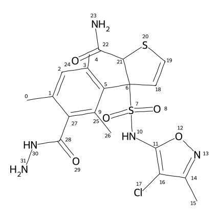 Cc1cc(C)c(C2(S(=O)(=O)Nc3onc(C)c3Cl)C=CSC2C(N)=O)c(C)c1C(=O)NN